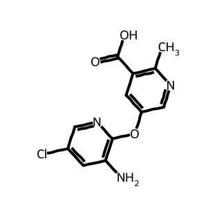 Cc1ncc(Oc2ncc(Cl)cc2N)cc1C(=O)O